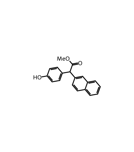 COC(=O)C(c1ccc(O)cc1)c1ccc2ccccc2c1